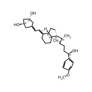 COc1ccc([C@H](O)CCC[C@@H](C)[C@H]2CC[C@H]3/C(=C/C=C4C[C@@H](O)C[C@H](O)C4)CCC[C@]23C)cc1